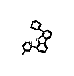 Cc1ccnc(-c2cccc3c2oc2c(-c4ccccc4)cccc23)c1